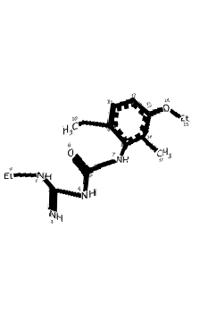 CCNC(=N)NC(=O)Nc1c(C)ccc(OCC)c1C